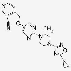 CC1CN(c2noc(C3CC3)n2)CCN1c1ncc(OCc2ccncc2C#N)cn1